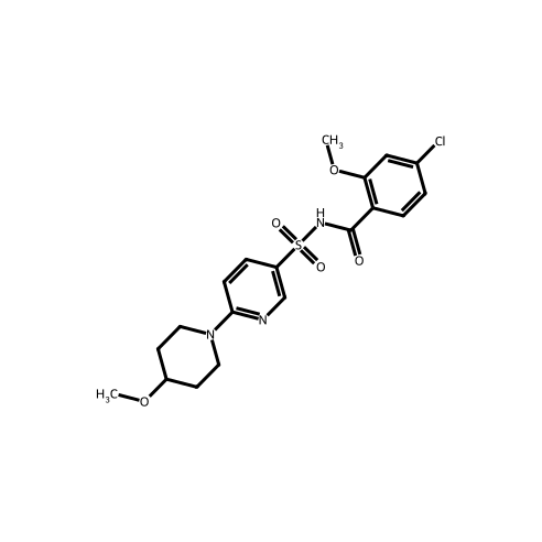 COc1cc(Cl)ccc1C(=O)NS(=O)(=O)c1ccc(N2CCC(OC)CC2)nc1